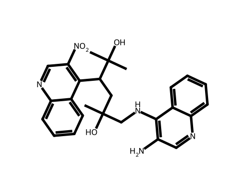 CC(O)(CNc1c(N)cnc2ccccc12)CC(c1c([N+](=O)[O-])cnc2ccccc12)C(C)(C)O